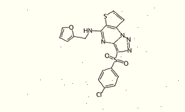 O=S(=O)(c1ccc(Cl)cc1)c1nnn2c1nc(NCc1ccco1)c1sccc12